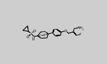 NC/C(=C\F)COc1ccc(C23CCC(NS(=O)(=O)C4CC4)(CC2)CC3)cc1